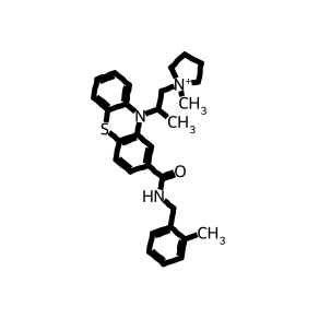 Cc1ccccc1CNC(=O)c1ccc2c(c1)N(C(C)C[N+]1(C)CCCC1)c1ccccc1S2